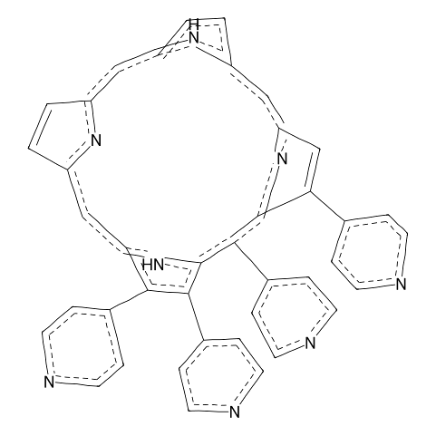 C1=Cc2cc3[nH]c(c(-c4ccncc4)c4nc(cc5ccc(cc1n2)[nH]5)C=C4c1ccncc1)c(-c1ccncc1)c3-c1ccncc1